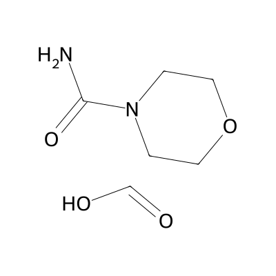 NC(=O)N1CCOCC1.O=CO